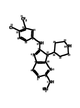 CC(C)(C)Nc1ncc2nc(Nc3ccc(Cl)c(C(F)(F)F)c3)n(C3CCNCC3)c2n1